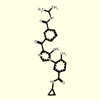 Cc1ccc(C(=O)NC2CC2)cc1-n1cnc(C(=O)c2cccc(C(=O)NC(C)C)c2)c1N